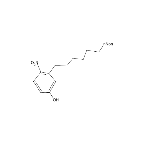 CCCCCCCCCCCCCCCc1cc(O)ccc1[N+](=O)[O-]